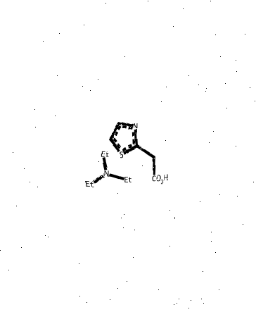 CCN(CC)CC.O=C(O)Cc1nccs1